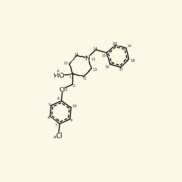 OC1(COc2ccc(Cl)cc2)CCN(Cc2ccccc2)CC1